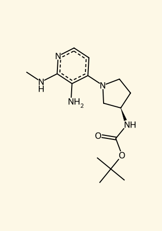 CNc1nccc(N2CC[C@@H](NC(=O)OC(C)(C)C)C2)c1N